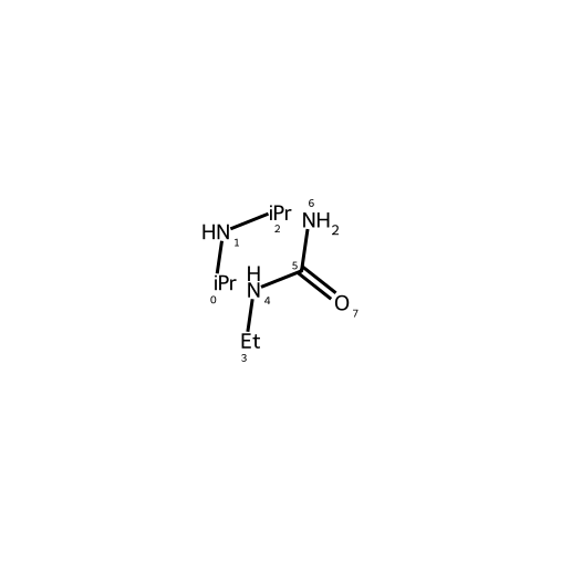 CC(C)NC(C)C.CCNC(N)=O